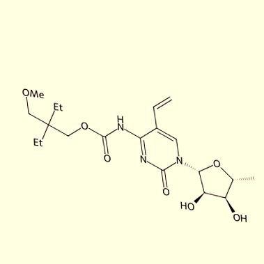 C=Cc1cn([C@@H]2O[C@H](C)[C@@H](O)[C@H]2O)c(=O)nc1NC(=O)OCC(CC)(CC)COC